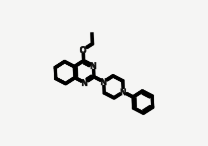 CCOc1nc(N2CCN(c3ccccc3)CC2)nc2c1CCCC2